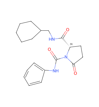 O=C(NCC1CCCCC1)[C@@H]1CCC(=O)N1C(=O)Nc1ccccc1